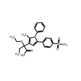 CCOC(CC)(C(=O)O)c1cc(-c2ccc(S(C)(=O)=O)cc2)n(-c2ccccc2)c1C